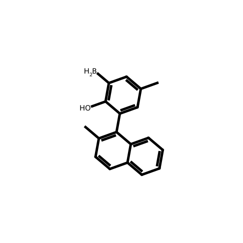 Bc1cc(C)cc(-c2c(C)ccc3ccccc23)c1O